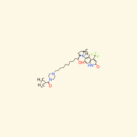 CC(C)C(=O)N1CCN(CCCCCCCCCC(O)[C@H]2CC[C@@H](C)N2c2ccc3[nH]c(=O)cc(C(F)(F)F)c3c2)CC1